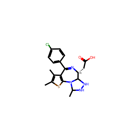 Cc1sc2c(c1C)C(c1ccc(Cl)cc1)=N[C@H](CC(=O)O)C1NNC(C)N21